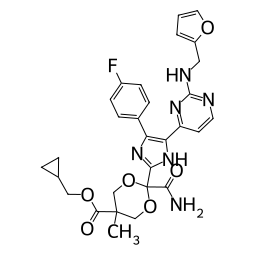 CC1(C(=O)OCC2CC2)COC(C(N)=O)(c2nc(-c3ccc(F)cc3)c(-c3ccnc(NCc4ccco4)n3)[nH]2)OC1